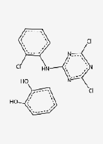 Clc1nc(Cl)nc(Nc2ccccc2Cl)n1.Oc1ccccc1O